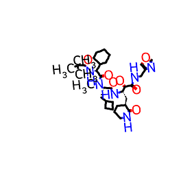 CN(C(=O)[C@H](NC(=O)C(C)(C)C)C1CCCCC1)[C@@H](CC1CCC1)C(=O)N[C@@H](C[C@@H]1CCCNC1=O)C(=O)C(=O)NCc1cocn1